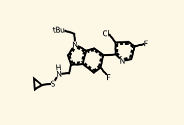 CC(C)(C)Cn1cc(CNSC2CC2)c2cc(F)c(-c3ncc(F)cc3Cl)cc21